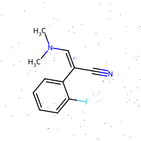 CN(C)/C=C(/C#N)c1ccccc1F